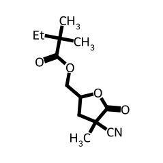 CCC(C)(C)C(=O)OCC1CC(C)(C#N)C(=O)O1